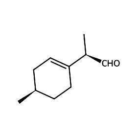 C[C@H]1CC=C([C@@H](C)C=O)CC1